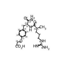 C[C@@H](CCCNC(=N)N)C(=O)N[C@@H](Cc1ccc(OCC(=O)O)cc1)C(N)=O